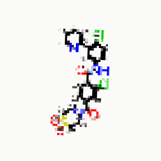 O=C(Nc1ccc(Cl)c(-c2ccccn2)c1)c1ccc(C(=O)N2CCS(=O)(=O)CC2)cc1Cl